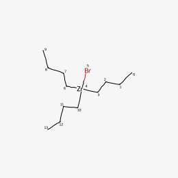 CCC[CH2][Zr]([Br])([CH2]CCC)[CH2]CCC